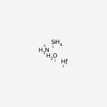 N.O.[Hf].[SiH4]